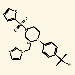 CC(C)(O)c1ccc(N2CCN(S(=O)(=O)c3cccs3)C[C@@H]2Cn2ccnc2)cc1